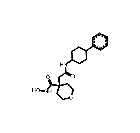 O=C(CC1(C(=O)NO)CCOCC1)NC1CCC(c2ccccc2)CC1